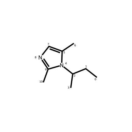 CCC(C)n1c(C)cnc1C